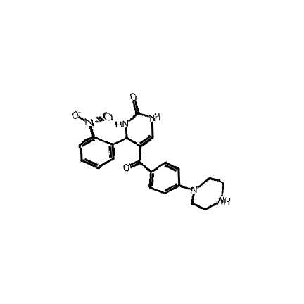 O=C1NC=C(C(=O)c2ccc(N3CCNCC3)cc2)C(c2ccccc2[N+](=O)[O-])N1